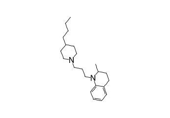 CCCCC1CCN(CCCN2c3ccccc3CCC2C)CC1